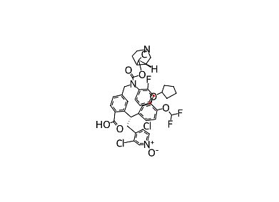 O=C(O)c1ccc(CN(C(=O)O[C@H]2CN3CCC2CC3)c2ccccc2F)cc1[C@@H](Cc1c(Cl)c[n+]([O-])cc1Cl)c1ccc(OC(F)F)c(OC2CCCC2)c1